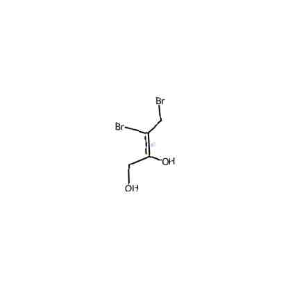 OC/C(O)=C(\Br)CBr